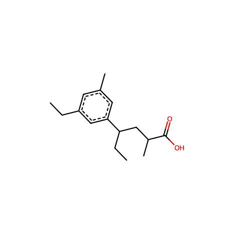 CCc1cc(C)cc(C(CC)CC(C)C(=O)O)c1